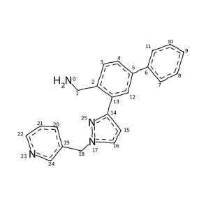 NCc1ccc(-c2ccccc2)cc1-c1ccn(Cc2cccnc2)n1